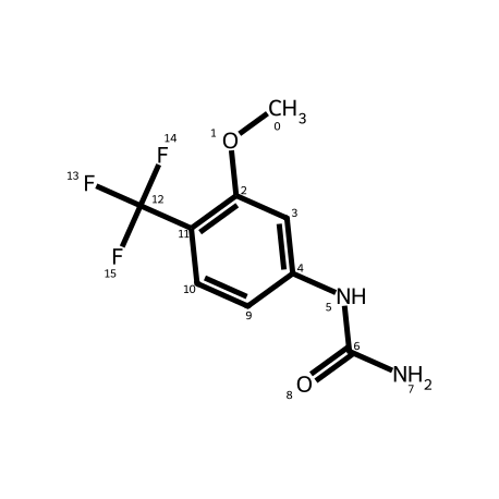 COc1cc(NC(N)=O)ccc1C(F)(F)F